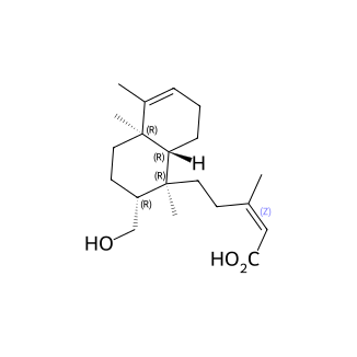 CC1=CCC[C@@H]2[C@@](C)(CC/C(C)=C\C(=O)O)[C@H](CO)CC[C@@]12C